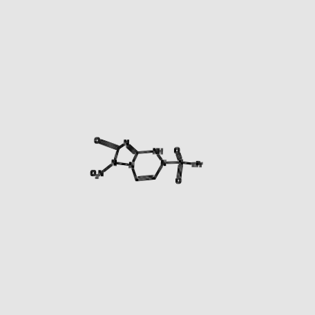 CCCS(=O)(=O)N1C=Cn2c(nc(=O)n2[N+](=O)[O-])N1